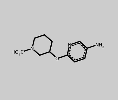 Nc1ccc(OC2CCCN(C(=O)O)C2)nc1